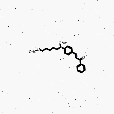 COC(CCCCCOC=O)c1ccc(/C=C/C(=O)c2ccccc2)cc1